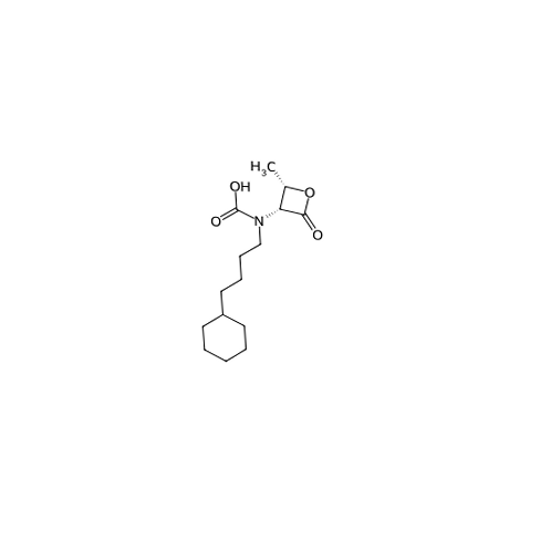 C[C@@H]1OC(=O)[C@@H]1N(CCCCC1CCCCC1)C(=O)O